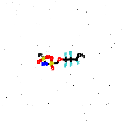 CC(F)C(F)(F)C(F)(F)OCS(=O)(=O)NS(=O)(=O)C(C)C